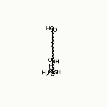 O=C(O)CCCCCCCCCCCCCCCCC(=O)NCCCCC(NP)C(=O)S